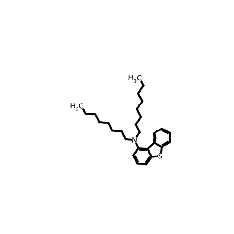 CCCCCCCCN(CCCCCCCC)c1cccc2sc3ccccc3c12